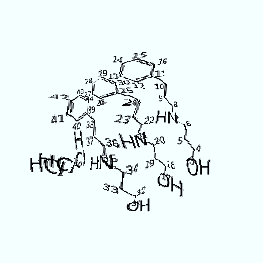 Cl.Cl.Cl.OCCCNCC=Cc1ccccc1.OCCCNCC=Cc1ccccc1.OCCCNCC=Cc1ccccc1